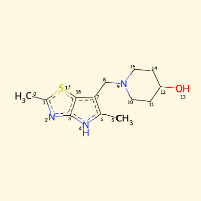 Cc1nc2[nH]c(C)c(CN3CCC(O)CC3)c2s1